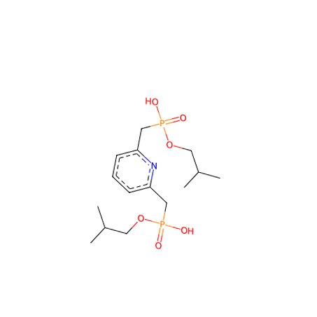 CC(C)COP(=O)(O)Cc1cccc(CP(=O)(O)OCC(C)C)n1